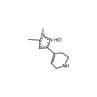 Cc1cc(C2=CCNCC2)nn1C.Cl